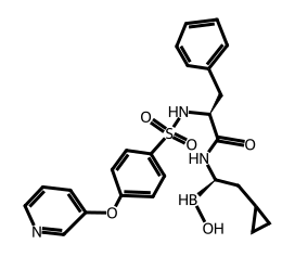 O=C(N[C@H](BO)CC1CC1)[C@H](Cc1ccccc1)NS(=O)(=O)c1ccc(Oc2cccnc2)cc1